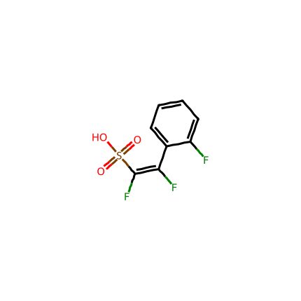 O=S(=O)(O)C(F)=C(F)c1ccccc1F